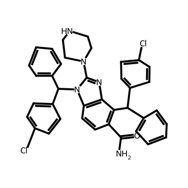 NC(=O)c1ccc2c(nc(N3CCNCC3)n2C(c2ccccc2)c2ccc(Cl)cc2)c1C(c1ccccc1)c1ccc(Cl)cc1